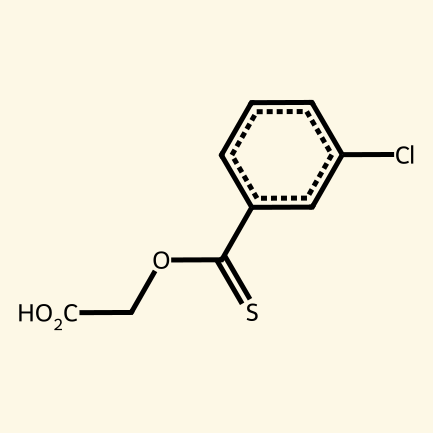 O=C(O)COC(=S)c1cccc(Cl)c1